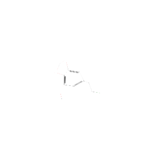 COc1cc(CCCl)cc2c1OCO2